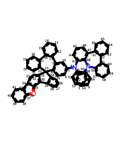 c1ccc(N(c2ccc3c(c2)-c2ccccc2-c2ccccc2C32c3ccccc3-c3c2ccc2c3oc3ccccc32)c2cccc3c2N(c2ccccc2)c2ccccc2-c2ccccc2-3)cc1